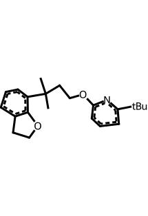 CC(C)(C)c1cccc(OCCC(C)(C)c2cccc3c2OCC3)n1